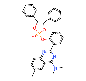 Cc1ccc2nc(-c3ccccc3OP(=O)(OCc3ccccc3)OCc3ccccc3)nc(N(C)C)c2c1